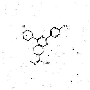 C/N=C(/SC)N1CCc2c(nc(-c3ccc([N+](=O)[O-])cc3)nc2N2CCOCC2)C1.I